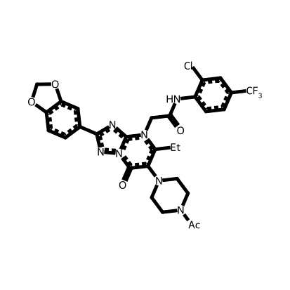 CCc1c(N2CCN(C(C)=O)CC2)c(=O)n2nc(-c3ccc4c(c3)OCO4)nc2n1CC(=O)Nc1ccc(C(F)(F)F)cc1Cl